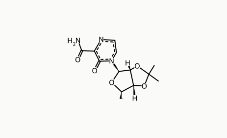 [CH2][C@H]1O[C@@H](n2ccnc(C(N)=O)c2=O)[C@@H]2OC(C)(C)O[C@@H]21